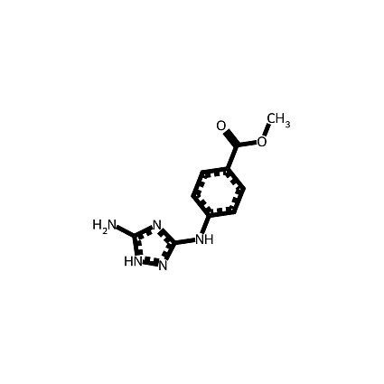 COC(=O)c1ccc(Nc2n[nH]c(N)n2)cc1